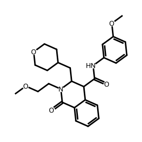 COCCN1C(=O)c2ccccc2C(C(=O)Nc2cccc(OC)c2)C1CC1CCOCC1